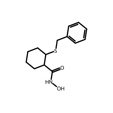 O=C(NO)C1CCCCC1SCc1ccccc1